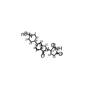 CCCCN1CCC(c2ccc3c(c2)CN(C2CCC(=O)NC2=O)C3=O)CC1